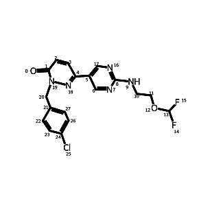 O=c1ccc(-c2cnc(NCCOC(F)F)nc2)nn1Cc1ccc(Cl)cc1